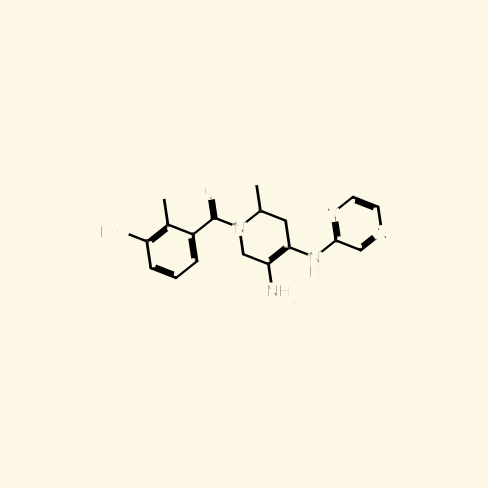 Cc1c(C(=O)N2CC(N)=C(Nc3cnccn3)CC2C)cccc1C(F)(F)F